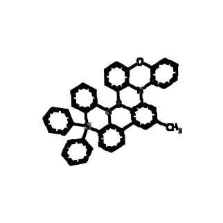 Cc1cc2c3c(c1)N1c4ccccc4Oc4cccc(c41)B3N1c3ccccc3[Si](c3ccccc3)(c3ccccc3)c3cccc-2c31